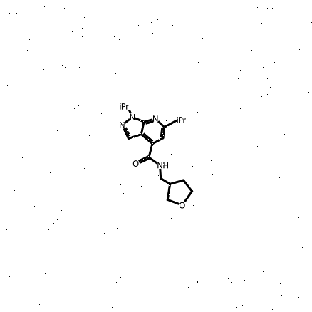 CC(C)c1cc(C(=O)NCC2CCOC2)c2cnn(C(C)C)c2n1